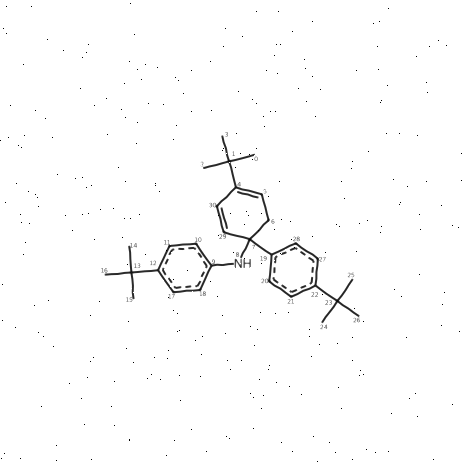 CC(C)(C)C1=CCC(Nc2ccc(C(C)(C)C)cc2)(c2ccc(C(C)(C)C)cc2)C=C1